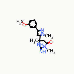 CN1C(=N)N[C@](C)(c2cc(-c3cccc(OC(F)(F)F)c3)nn2C)CC1=O